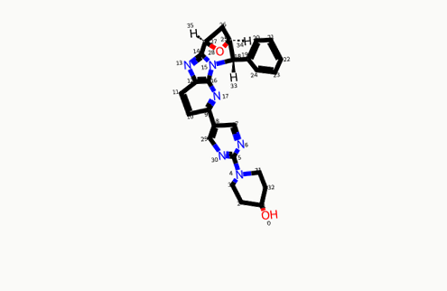 OC1CCN(c2ncc(-c3ccc4nc5n(c4n3)[C@@H](c3ccccc3)[C@@H]3C[C@H]5O3)cn2)CC1